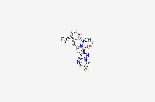 CN1c2cccc(C(F)(F)F)c2CCN1C(=O)c1cc2ncc(Cl)cn2n1